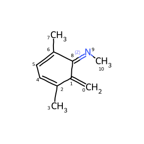 C=C1C(C)=CC=C(C)/C1=N/C